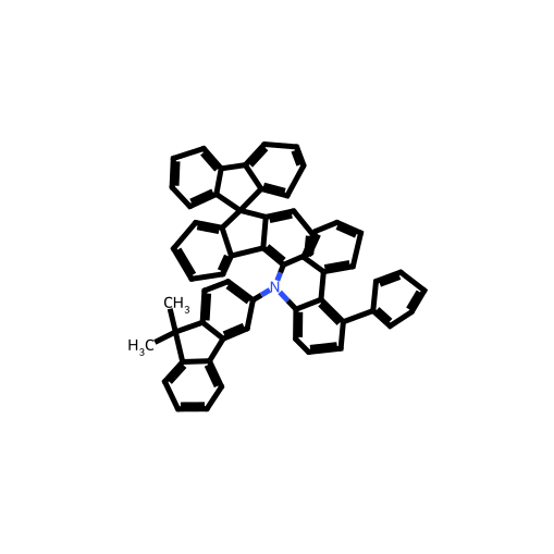 CC1(C)c2ccccc2-c2cc(N(c3cccc(-c4ccccc4)c3-c3ccccc3)c3cccc4c3-c3ccccc3C43c4ccccc4-c4ccccc43)ccc21